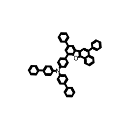 c1ccc(-c2ccc(N(c3ccc(-c4ccccc4)cc3)c3ccc(-c4cc(-c5ccccc5)cc5c4oc4c6ccccc6c(-c6ccccc6)cc54)cc3)cc2)cc1